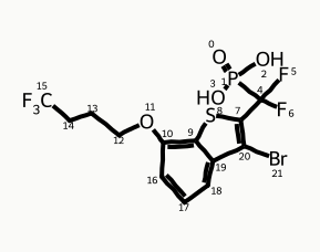 O=P(O)(O)C(F)(F)c1sc2c(OCCCC(F)(F)F)cccc2c1Br